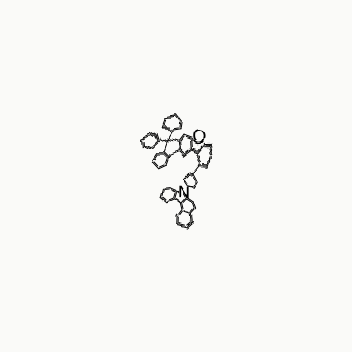 c1ccc(C2(c3ccccc3)c3ccccc3-c3cc4c(cc32)oc2cccc(-c3ccc(-n5c6ccccc6c6c7ccccc7ccc65)cc3)c24)cc1